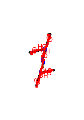 CCCCOC(=O)CCCCC(O)CN(CCCCSSCCN1CCN(CCOC(=O)CCCCN(CC(O)CCCCCCC(=O)OCC(CC)CC)CC(O)CCCCCCC(=O)OCC(CC)CC)CC1)CC(O)CCCCC(=O)OCCCC